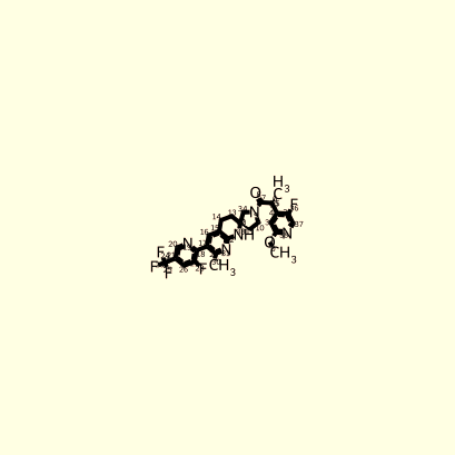 COc1cc([C@@H](C)C(=O)N2CC[C@@]3(CCc4cc(-c5ncc(C(F)(F)F)cc5F)c(C)nc4N3)C2)c(F)cn1